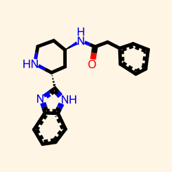 O=C(Cc1ccccc1)N[C@@H]1CCN[C@@H](c2nc3ccccc3[nH]2)C1